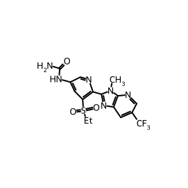 CCS(=O)(=O)c1cc(NC(N)=O)cnc1-c1nc2cc(C(F)(F)F)cnc2n1C